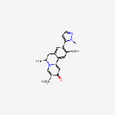 COc1cc2c(cc1-c1ccnn1C)CC(C(C)(C)C)n1cc(C(=O)O)c(=O)cc1-2